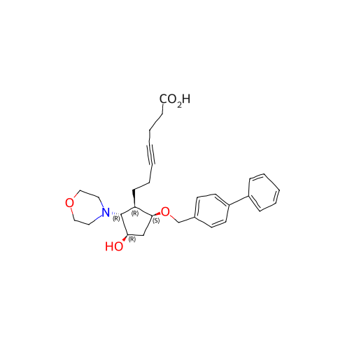 O=C(O)CCC#CCC[C@@H]1[C@@H](N2CCOCC2)[C@H](O)C[C@@H]1OCc1ccc(-c2ccccc2)cc1